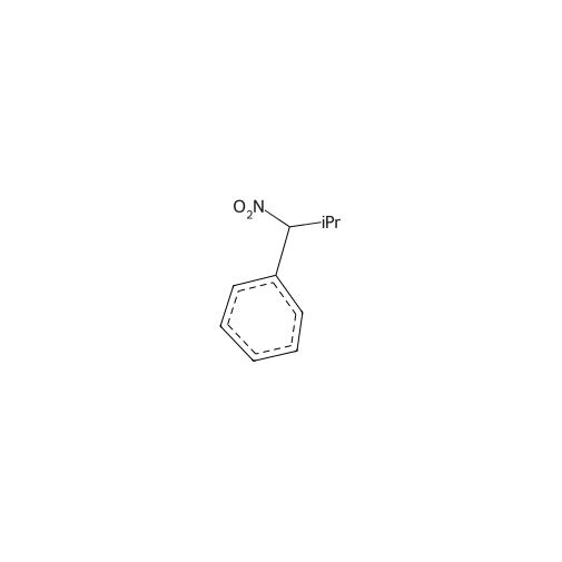 CC(C)C(c1ccccc1)[N+](=O)[O-]